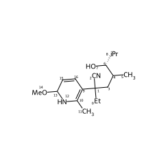 CCC(C#N)(CC(C)[C@H](O)C(C)C)C1=C(C)NC(OC)C=C1